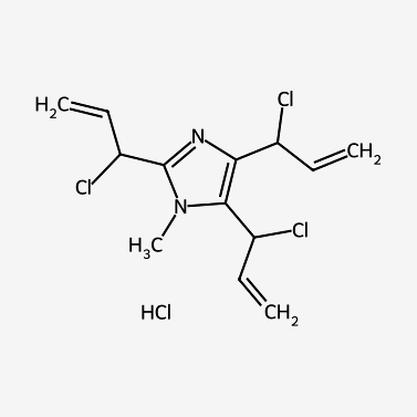 C=CC(Cl)c1nc(C(Cl)C=C)n(C)c1C(Cl)C=C.Cl